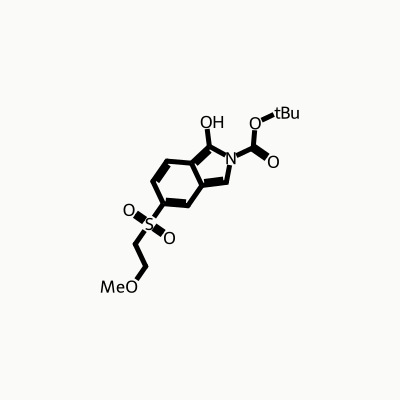 COCCS(=O)(=O)c1ccc2c(O)n(C(=O)OC(C)(C)C)cc2c1